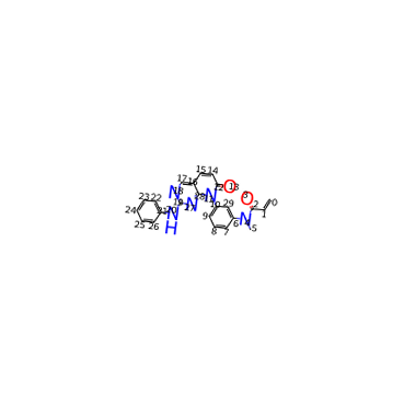 C=CC(=O)N(C)c1cccc(-n2c(=O)ccc3cnc(Nc4ccccc4)nc32)c1